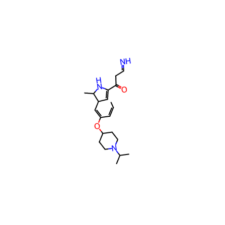 C/C=C\C(=C/C1C=C(C(=O)CC=N)NC1C)OC1CCN(C(C)C)CC1